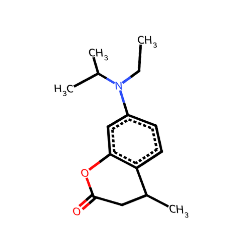 CCN(c1ccc2c(c1)OC(=O)CC2C)C(C)C